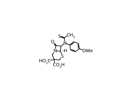 COc1ccc(N(C(C)=S)C2C(=O)N3CC(C(=O)O)(C(=O)O)CS[C@H]23)cc1